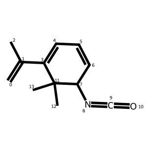 C=C(C)C1=CC=CC(N=C=O)C1(C)C